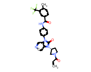 C=CC(=O)N1CC[C@@H](n2c(=O)n(-c3ccc(NC(=O)c4ccc(C)c(C(F)(F)F)c4)cc3)c3cnccc32)C1